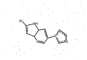 CCC1=CC2N=CC(n3ccnc3)=CC2N1